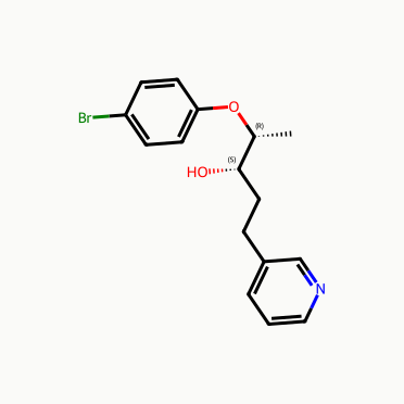 C[C@@H](Oc1ccc(Br)cc1)[C@@H](O)CCc1cccnc1